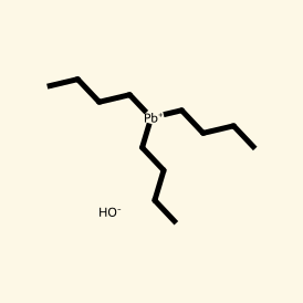 CCC[CH2][Pb+]([CH2]CCC)[CH2]CCC.[OH-]